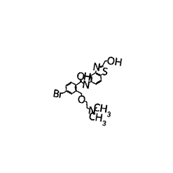 CN(C)CCOCc1cc(Br)ccc1C(=O)Nc1ccc2sc(CO)nc2c1